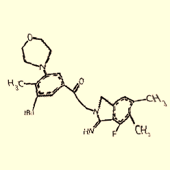 Cc1cc2c(c(F)c1C)C(=N)N(CC(=O)c1cc(N3CCOCC3)c(C)c(C(C)(C)C)c1)C2